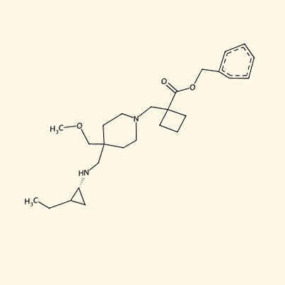 CCC1C[C@H]1NCC1(COC)CCN(CC2(C(=O)OCc3ccccc3)CCC2)CC1